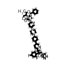 CCC(C(C)OCc1ccccc1)n1ncn(-c2ccc(N3CCN(c4ccc(-c5ccc(C(F)(F)C(O)(Cn6cnnn6)c6ccc(F)cc6F)nc5)cc4)CC3)cn2)c1=O